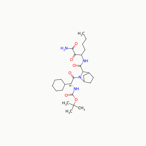 CCCCC(NC(=O)C1C2CCC(C2)N1C(=O)[C@H](NC(=O)OC(C)(C)C)C1CCCCC1)C(=O)C(N)=O